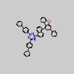 C1=CC(c2ccccc2)CC=C1c1nc(-c2ccc(-c3ccccc3)cc2)nc(-c2cccc3c(-c4cc(-c5ccccc5)cc5oc6ccccc6c45)cccc23)n1